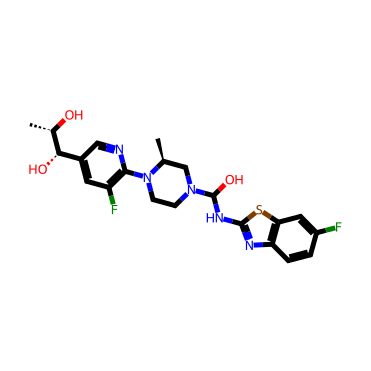 C[C@H](O)[C@@H](O)c1cnc(N2CCN(C(O)Nc3nc4ccc(F)cc4s3)C[C@@H]2C)c(F)c1